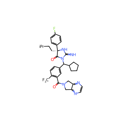 CC(C)CC[C@]1(c2ccc(F)cc2)NC(=N)N(C(c2ccc(C(F)(F)F)c(C(=O)N3Cc4nccnc4C3)c2)C2CCCC2)C1=O